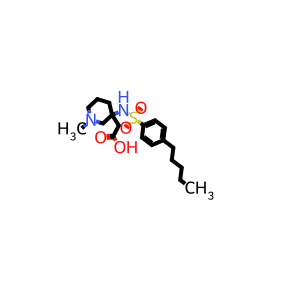 CCCCCc1ccc(S(=O)(=O)NC2(CC(=O)O)CCCN(C)C2)cc1